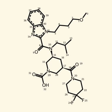 COCCCCn1c(C(=O)N(CC(C)C)[C@H]2C[C@@H](C(=O)N3CCC(F)(F)CC3)CN(C(=O)O)C2)nc2ccccc21